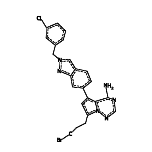 Nc1ncnn2c(CCCBr)cc(-c3ccc4cn(Cc5cccc(Cl)c5)nc4c3)c12